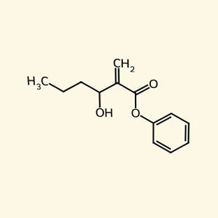 C=C(C(=O)Oc1ccccc1)C(O)CCC